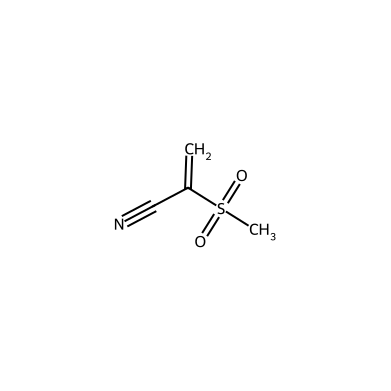 C=C(C#N)S(C)(=O)=O